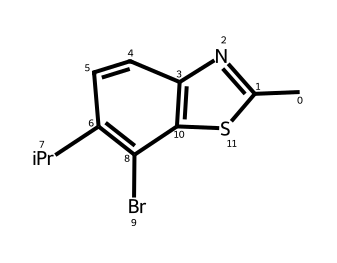 Cc1nc2ccc(C(C)C)c(Br)c2s1